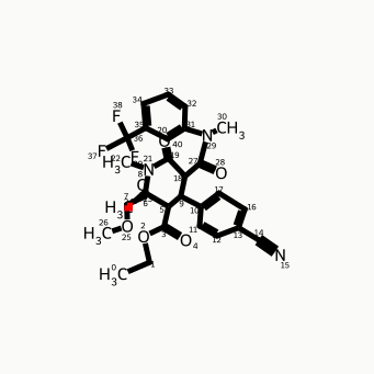 CCOC(=O)C(C(C)=O)C(c1ccc(C#N)cc1)C(C(=O)N(C)CCOC)C(=O)N(C)c1cccc(C(F)(F)F)c1